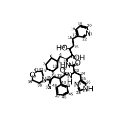 O=C(N[C@@H](CC1CCCCC1)[C@@H](O)[C@@H](O)CCc1cccnc1)C(Cc1c[nH]cn1)NC(=O)C(CC(=S)N1CCOCC1)c1ccccc1